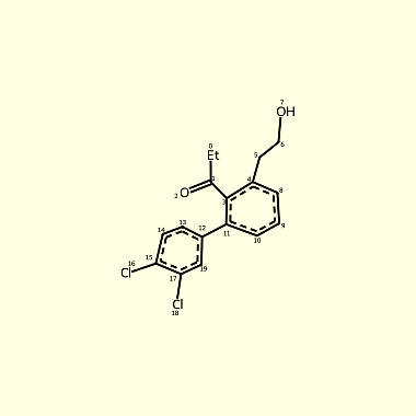 CCC(=O)c1c(CCO)cccc1-c1ccc(Cl)c(Cl)c1